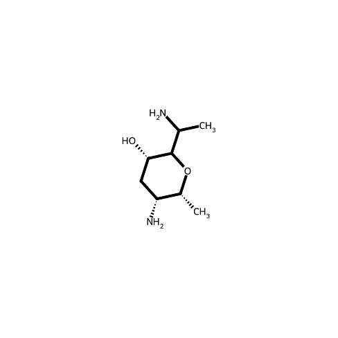 CC(N)C1O[C@H](C)[C@H](N)C[C@@H]1O